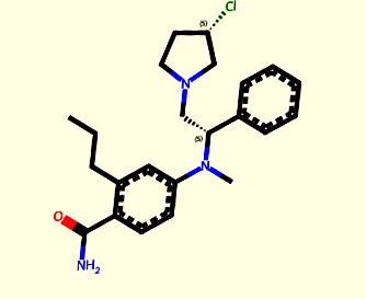 CCCc1cc(N(C)[C@H](CN2CC[C@H](Cl)C2)c2ccccc2)ccc1C(N)=O